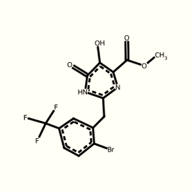 COC(=O)c1nc(Cc2cc(C(F)(F)F)ccc2Br)[nH]c(=O)c1O